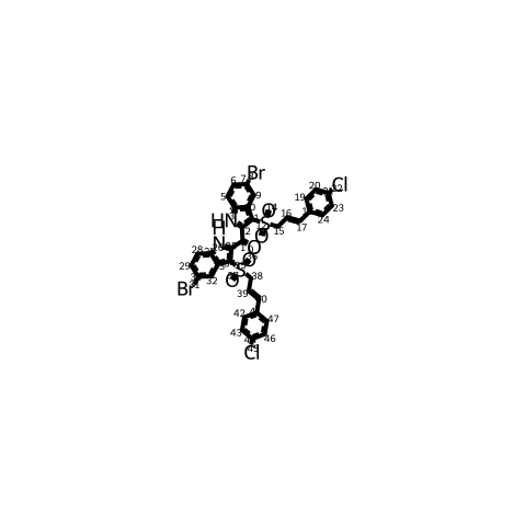 O=C(c1[nH]c2ccc(Br)cc2c1S(=O)(=O)CC=Cc1ccc(Cl)cc1)c1[nH]c2ccc(Br)cc2c1S(=O)(=O)CC=Cc1ccc(Cl)cc1